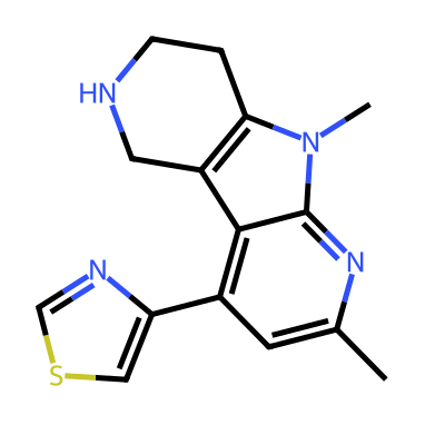 Cc1cc(-c2cscn2)c2c3c(n(C)c2n1)CCNC3